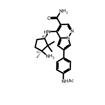 CC(=O)Nc1ccc(-c2cc3c(N[C@@H]4CC[C@](C)(N)C4(C)C)c(C(N)=O)cnn3c2)cc1